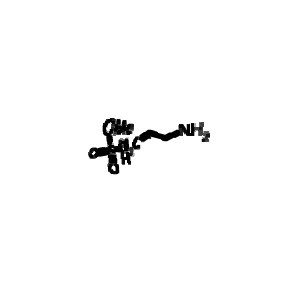 C=CCN.COS(=O)(=O)O